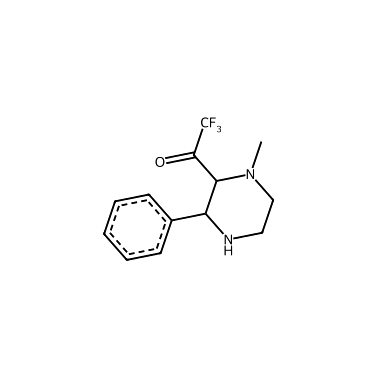 CN1CCNC(c2ccccc2)C1C(=O)C(F)(F)F